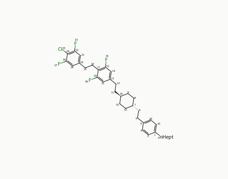 CCCCCCCc1ccc(CC[C@H]2CC[C@H](CCc3cc(F)c(CCc4cc(F)c(Cl)c(F)c4)c(F)c3)CC2)cc1